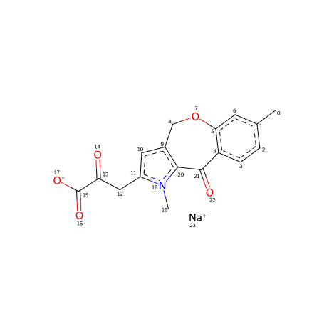 Cc1ccc2c(c1)OCc1cc(CC(=O)C(=O)[O-])n(C)c1C2=O.[Na+]